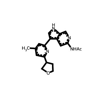 CC(=O)Nc1cc2c(-c3cc(C)cc(C4CCOC4)n3)c[nH]c2cn1